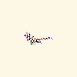 Cl.NCCOCCOCCC(Oc1cccc2c1C(=O)N(C1CCC(=O)NC1=O)C2=O)C(N)=O